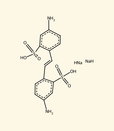 Nc1ccc(C=Cc2ccc(N)cc2S(=O)(=O)O)c(S(=O)(=O)O)c1.[NaH].[NaH]